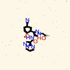 COc1ccc(C#N)cc1-c1nn(C[C@H](C)O)cc1NC(=O)c1cnn2cccnc12